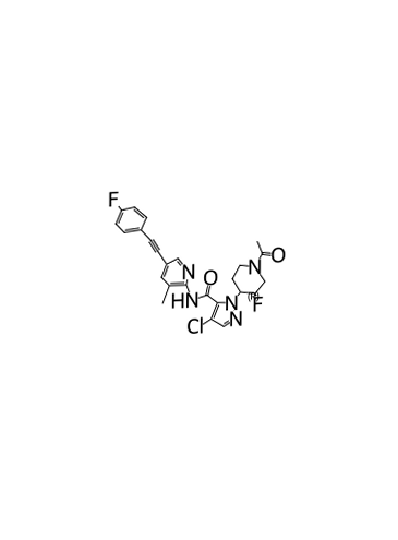 CC(=O)N1CCC(n2ncc(Cl)c2C(=O)Nc2ncc(C#Cc3ccc(F)cc3)cc2C)[C@H](F)C1